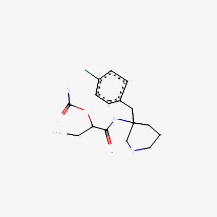 COCC(OC(N)=O)C(=O)NC1(Cc2ccc(Cl)cc2)CCCNC1